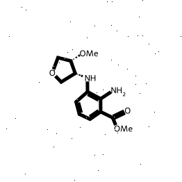 COC(=O)c1cccc(N[C@@H]2COC[C@@H]2OC)c1N